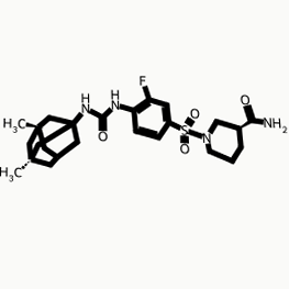 C[C@]12CC3CC(NC(=O)Nc4ccc(S(=O)(=O)N5CCC[C@H](C(N)=O)C5)cc4F)(C1)C[C@@](C)(C3)C2